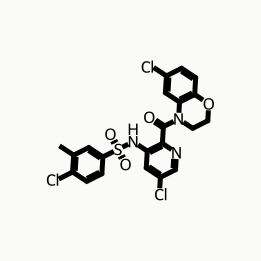 Cc1cc(S(=O)(=O)Nc2cc(Cl)cnc2C(=O)N2CCOc3ccc(Cl)cc32)ccc1Cl